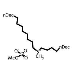 CCCCCCCCCCCCCCCCCC[S+](C)CCCCCCCCCCCCCC.COS(=O)(=O)[O-]